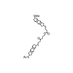 CSC1CC2CC1C1C3CC(C4CC(SCCC(=O)OCCCC(=O)CCSC5CC6CC5C5C7CC(C8CC(SC(C)=O)CC87)C65)CC43)C21